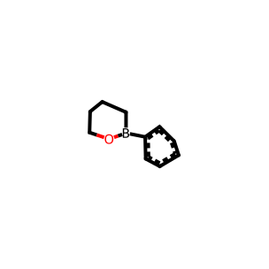 c1ccc(B2CCCCO2)cc1